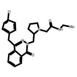 CC(C)(C)CNC(=O)CN1CCCC1Cn1nc(Cc2ccc(Cl)cc2)c2ccccc2c1=O